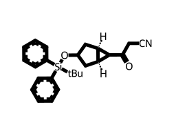 CC(C)(C)[Si](OC1C[C@@H]2C(C(=O)CC#N)[C@@H]2C1)(c1ccccc1)c1ccccc1